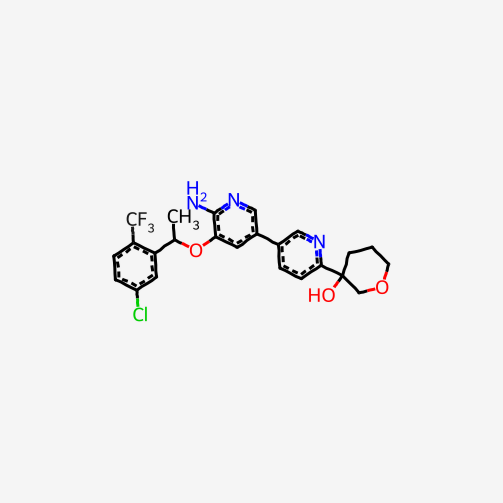 CC(Oc1cc(-c2ccc(C3(O)CCCOC3)nc2)cnc1N)c1cc(Cl)ccc1C(F)(F)F